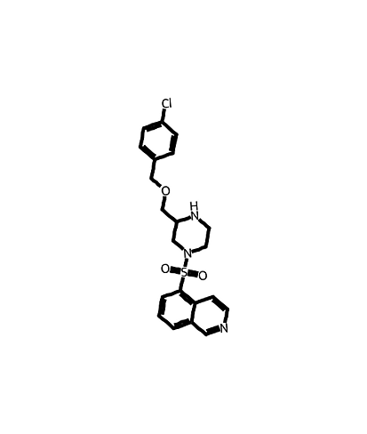 O=S(=O)(c1cccc2cnccc12)N1CCNC(COCc2ccc(Cl)cc2)C1